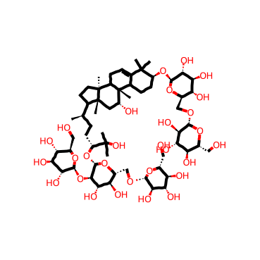 C[C@H](CC[C@@H](O[C@@H]1O[C@H](CO[C@@H]2O[C@H](CO)[C@@H](O)[C@H](O)[C@H]2O)[C@@H](O)[C@H](O)[C@H]1O[C@@H]1O[C@H](CO)[C@@H](O)[C@H](O)[C@H]1O)C(C)(C)O)C1CC[C@@]2(C)C3CC=C4C(CC[C@H](O[C@@H]5O[C@H](CO[C@@H]6O[C@H](CO)[C@@H](O)[C@H](O)[C@H]6O)[C@@H](O)[C@H](O)[C@H]5O)C4(C)C)[C@]3(C)[C@H](O)C[C@]12C